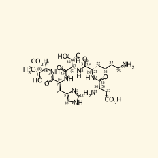 C[C@@H](O)[C@H](NC(=O)[C@H](Cc1c[nH]cn1)NC(=O)[C@@H](NC(=O)[C@H](CCCCN)NC(=O)[C@@H](N)CC(=O)O)[C@@H](C)O)C(=O)O